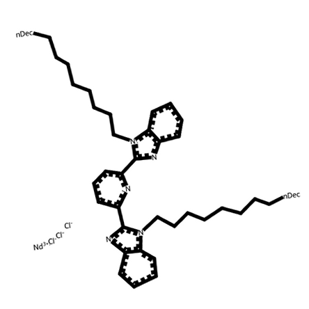 CCCCCCCCCCCCCCCCCCn1c(-c2cccc(-c3nc4ccccc4n3CCCCCCCCCCCCCCCCCC)n2)nc2ccccc21.[Cl-].[Cl-].[Cl-].[Nd+3]